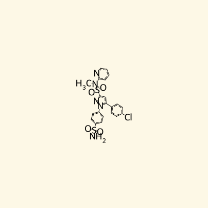 CN(c1ccccn1)S(=O)(=O)c1cc(-c2ccc(Cl)cc2)n(-c2ccc(S(N)(=O)=O)cc2)n1